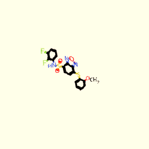 COc1ccccc1Sc1ccc(S(=O)(=O)Nc2cccc(F)c2F)c2nonc12